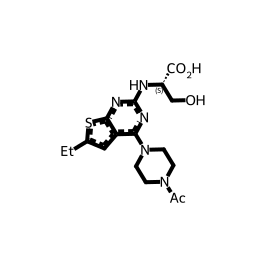 CCc1cc2c(N3CCN(C(C)=O)CC3)nc(N[C@@H](CO)C(=O)O)nc2s1